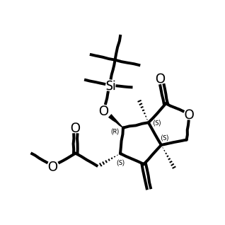 C=C1[C@H](CC(=O)OC)[C@@H](O[Si](C)(C)C(C)(C)C)[C@@]2(C)C(=O)OC[C@@]12C